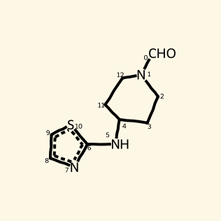 O=CN1CCC(Nc2nccs2)CC1